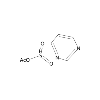 CC(=O)O[SH](=O)=O.c1cncnc1